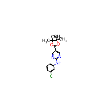 CC1(C)OB(c2cnc(Nc3cccc(Cl)c3)nc2)OC1(C)C